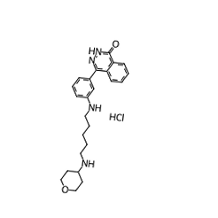 Cl.O=c1[nH]nc(-c2cccc(NCCCCCNC3CCOCC3)c2)c2ccccc12